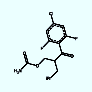 CC(C)CC(COC(N)=O)C(=O)c1c(F)cc(Cl)cc1F